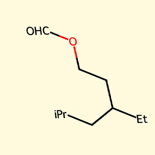 CCC(CCOC=O)CC(C)C